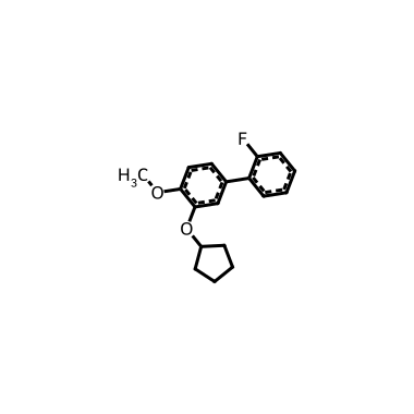 COc1ccc(-c2ccccc2F)cc1OC1CCCC1